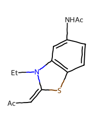 CCN1C(=CC(C)=O)Sc2ccc(NC(C)=O)cc21